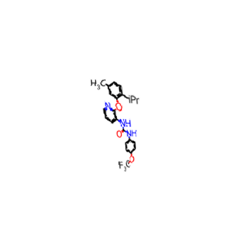 Cc1ccc(C(C)C)c(Oc2ncccc2NC(=O)Nc2ccc(OC(F)(F)F)cc2)c1